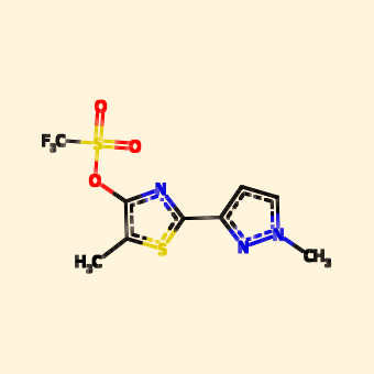 Cc1sc(-c2ccn(C)n2)nc1OS(=O)(=O)C(F)(F)F